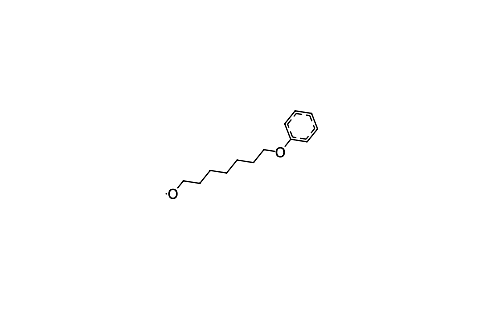 [O]CCCCCCCOc1ccccc1